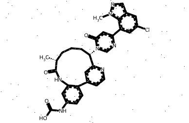 C[C@@H]1CCC[C@H](n2cnc(-c3cc(Cl)cc4cnn(C)c34)cc2=O)c2cc(ccn2)-c2ccc(NC(=O)O)cc2NC1=O